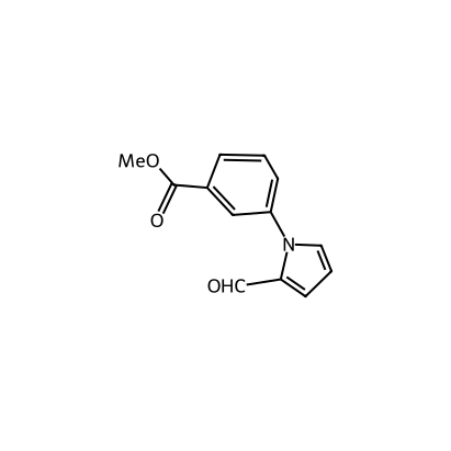 COC(=O)c1cccc(-n2cccc2C=O)c1